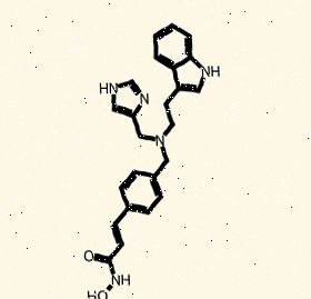 O=C(/C=C/c1ccc(CN(CCc2c[nH]c3ccccc23)Cc2c[nH]cn2)cc1)NO